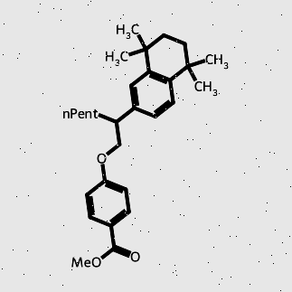 CCCCCC(COc1ccc(C(=O)OC)cc1)c1ccc2c(c1)C(C)(C)CCC2(C)C